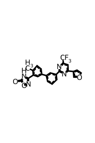 Cc1ccc(-c2cccc(-c3nc(-c4ccoc4)cc(C(F)(F)F)n3)c2)cc1-c1noc(=O)[nH]1